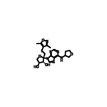 Cc1noc(C)c1SC[C@]1(n2cnc3c(NC4CCOC4)ncnc32)OC[C@H](O)[C@H]1O